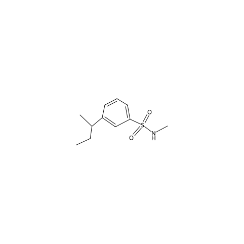 CCC(C)c1cccc(S(=O)(=O)NC)c1